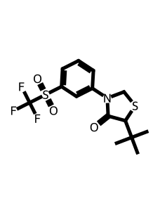 CC(C)(C)C1SCN(c2cccc(S(=O)(=O)C(F)(F)F)c2)C1=O